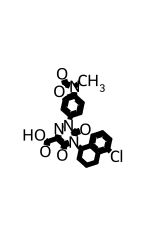 Cn1c(=O)oc2cc(-n3nc(C(=O)O)c(=O)n(C4CCCc5c(Cl)cccc54)c3=O)ccc21